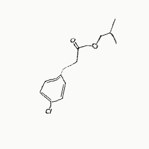 CC(C)COC(=O)CCc1ccc(Cl)cc1